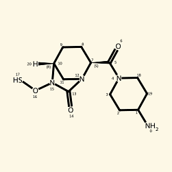 NC1CCN(C(=O)[C@@H]2CC[C@@H]3CN2C(=O)N3OS)CC1